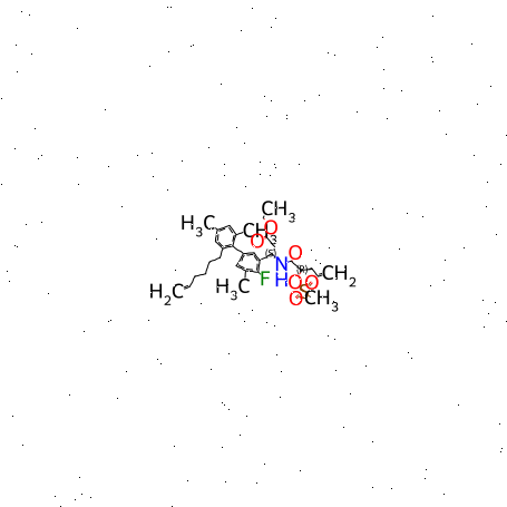 C=CCCCCc1cc(C)cc(C)c1-c1cc(C)c(F)c([C@H](CC(=O)OCC)NC(=O)[C@@H](CC=C)OS(C)(=O)=O)c1